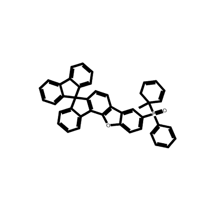 CC1(P(=O)(c2ccccc2)c2ccc3oc4c5c(ccc4c3c2)C2(c3ccccc3-c3ccccc32)c2ccccc2-5)C=CC=CC1